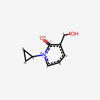 O=c1c(CO)cccn1C1CC1